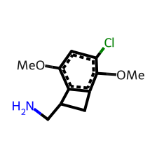 COc1cc(Cl)c(OC)c2c1C(CN)C2